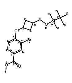 COC(=O)c1ccc(OC2CC(CO[Si](C)(C)C(C)(C)C)C2)c(Br)c1